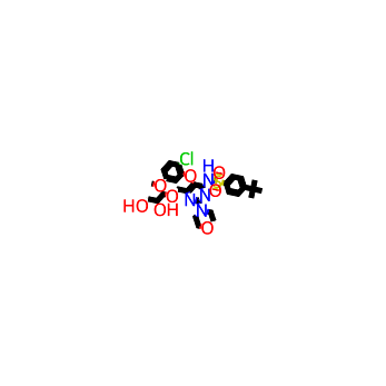 COc1ccc(Cl)c(Oc2c(COC[C@H](O)CO)nc(N3CCOCC3)nc2NS(=O)(=O)c2ccc(C(C)(C)C)cc2)c1